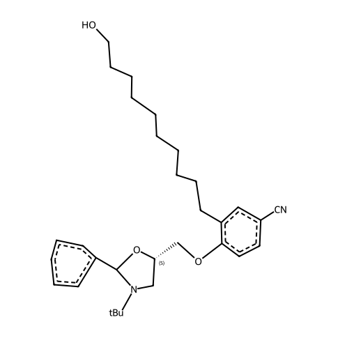 CC(C)(C)N1C[C@@H](COc2ccc(C#N)cc2CCCCCCCCCCO)OC1c1ccccc1